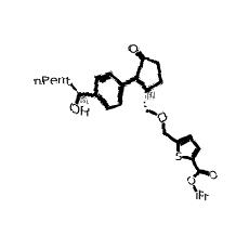 CCCCC[C@H](O)c1ccc(C2C(=O)CC[C@@H]2COCc2ccc(C(=O)OC(C)C)s2)cc1